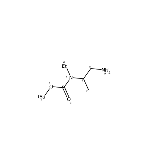 CCN(C(=O)OC(C)(C)C)C(C)CN